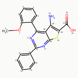 COc1ccccc1-c1nc(-c2ccccc2)nc2sc(C(=O)O)c(N)c12